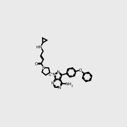 Nc1ncnc2c1c(-c1ccc(Oc3ccccc3)cc1)nn2[C@@H]1CCN(C(=O)C=CCNC2CC2)C1